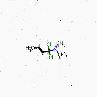 CC=CC(Cl)(Cl)N(C)C